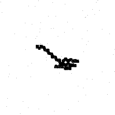 CC(=O)NC1(COCCOCCOCCN)COC(COC(C)=O)C(OC(C)=O)C1OC(C)=O